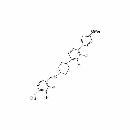 COc1ccc(-c2ccc(C3CCC(OCc4ccc(C5CO5)c(F)c4F)CC3)c(F)c2F)cc1